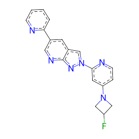 FC1CN(c2ccnc(-n3cc4cc(-c5ccccn5)cnc4n3)c2)C1